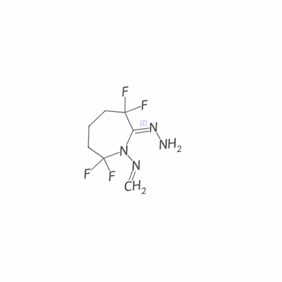 C=NN1/C(=N\N)C(F)(F)CCCC1(F)F